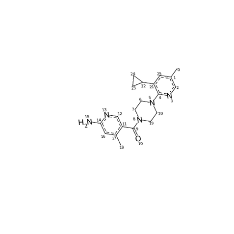 Cc1cnc(N2CCN(C(=O)c3cnc(N)cc3C)CC2)c(C2CC2)c1